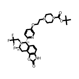 CC(C)(C)OC(=O)N1CCN(CCOc2ccc([C@@H]3c4ccc5[nH]c(=O)oc5c4C[C@@H](F)N3CC(F)(F)F)nc2)CC1